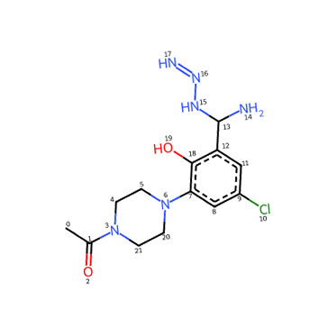 CC(=O)N1CCN(c2cc(Cl)cc(C(N)NN=N)c2O)CC1